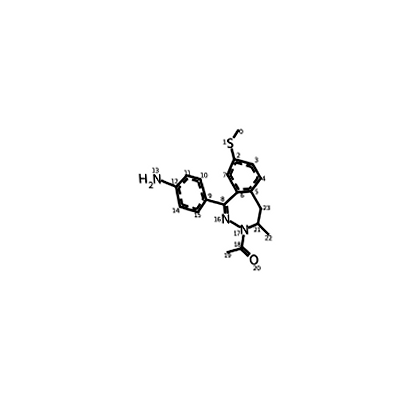 CSc1ccc2c(c1)C(c1ccc(N)cc1)=NN(C(C)=O)C(C)C2